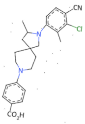 Cc1c(N2CC3(CCN(c4ccc(C(=O)O)cc4)CC3)CC2C)ccc(C#N)c1Cl